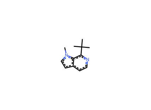 Cn1ccc2ccnc(C(C)(C)C)c21